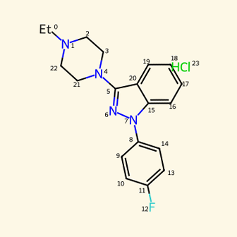 CCN1CCN(c2nn(-c3ccc(F)cc3)c3ccccc23)CC1.Cl